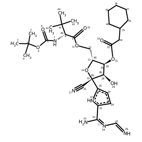 CC(C)(C)OC(=O)N[C@@H](C(=O)OC[C@H]1O[C@@](C#N)(c2ccc(/C(N)=N\C=N)[nH]2)[C@H](O)[C@@H]1OC(=O)CC1CCCCC1)C(C)(C)C